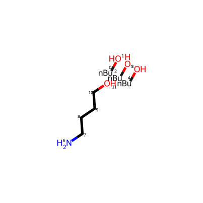 CCCCO.CCCCO.CCCCO.NCCCCO